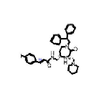 O=C(/C=C/c1ccc(I)cc1)NC[C@@H]1CCN(CC(c2ccccc2)c2ccccc2)C(=O)[C@H](CN2CCCCC2)N1